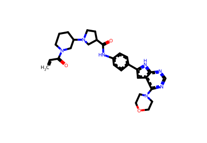 C=CC(=O)N1CCCC(N2CCC(C(=O)Nc3ccc(-c4cc5c(N6CCOCC6)ncnc5[nH]4)cc3)C2)C1